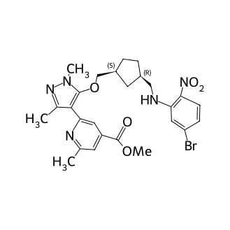 COC(=O)c1cc(C)nc(-c2c(C)nn(C)c2OC[C@H]2CC[C@@H](CNc3cc(Br)ccc3[N+](=O)[O-])C2)c1